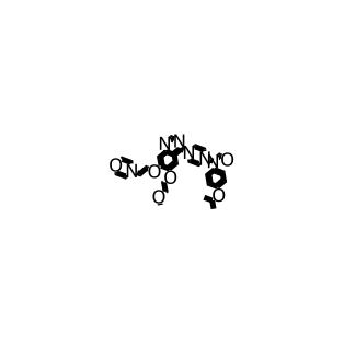 COCCOc1cc2c(N3CCN(N(C=O)c4ccc(OC(C)C)cc4)CC3)ncnc2cc1OCCN1CCOCC1